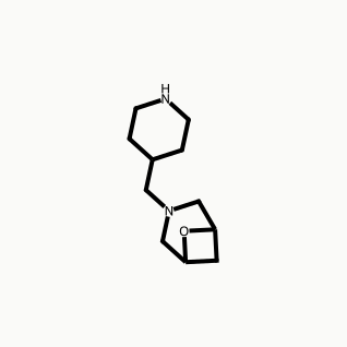 C1CC(CN2CC3CC(C2)O3)CCN1